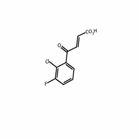 O=C(O)C=CC(=O)c1cccc(F)c1Cl